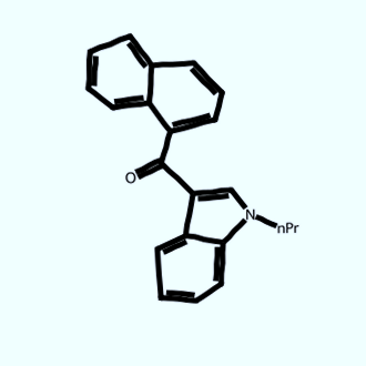 CCCn1cc(C(=O)c2cccc3ccccc23)c2ccccc21